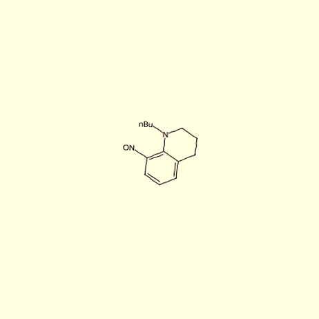 CCCCN1CCCc2cccc(N=O)c21